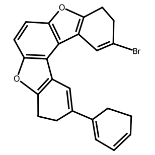 BrC1=Cc2c(oc3ccc4oc5c(c4c23)C=C(C2=CC=CCC2)CC5)CC1